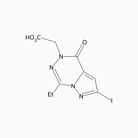 CCc1nn(CC(=O)O)c(=O)c2cc(I)nn12